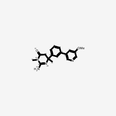 COc1cncc(-c2cccc(C3(C)CC(=O)N(C)C(N)=N3)c2)c1